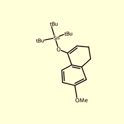 COc1ccc2c(c1)CCC=C2[O][Sn]([C](C)(C)C)([C](C)(C)C)[C](C)(C)C